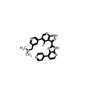 CN(C)Cc1cncc(-c2cnc3[nH]nc(-c4nc5c(-c6ccncc6)ccnc5[nH]4)c3c2F)c1